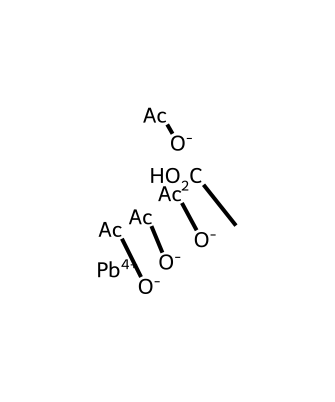 CC(=O)O.CC(=O)[O-].CC(=O)[O-].CC(=O)[O-].CC(=O)[O-].[Pb+4]